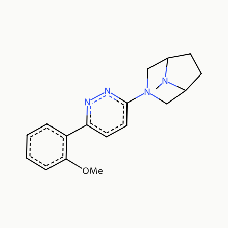 COc1ccccc1-c1ccc(N2CC3CCC(C2)N3C)nn1